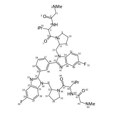 CNCC(=O)NC(C(=O)N1CCCC1Cn1c(-c2cccc(-c3nc4cc(F)ccc4n3CC3CCCN3C(=O)C(NC(=O)CNC)C(C)C)c2)nc2cc(F)ccc21)C(C)C